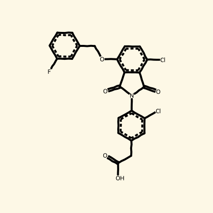 O=C(O)Cc1ccc(N2C(=O)c3c(Cl)ccc(OCc4cccc(F)c4)c3C2=O)c(Cl)c1